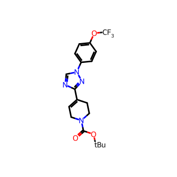 CC(C)(C)OC(=O)N1CC=C(c2ncn(-c3ccc(OC(F)(F)F)cc3)n2)CC1